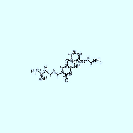 N=C(N)NCCCn1cc2c(nc1=O)Nc1c(OCCN)cccc1S2